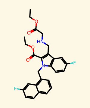 CCOC(=O)CNCc1c(C(=O)OCC)n(Cc2cccc3ccc(F)cc23)c2ccc(F)cc12